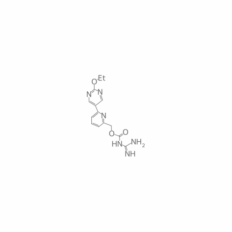 CCOc1ncc(-c2cccc(COC(=O)NC(=N)N)n2)cn1